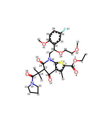 CCOC(=O)c1sc2c(c1C)C(=O)C(C(C)(C)C(=O)N1CCCC1)C(=O)N2C[C@H](OCCOC)c1cc(F)ccc1OC